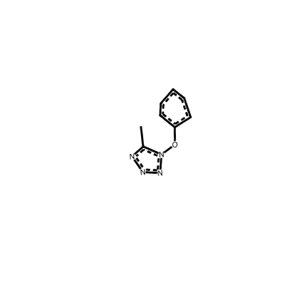 Cc1nnnn1Oc1ccccc1